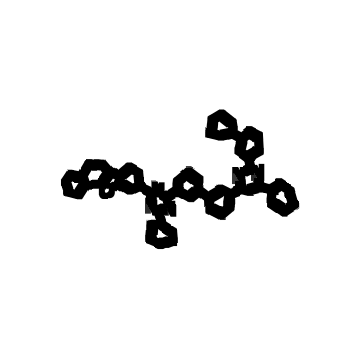 c1ccc(-c2cccc(-c3nc(-c4ccccc4)cc(-c4cccc(-c5cccc(-c6nc(-c7ccccc7)nc(-c7ccc8c(c7)oc7c9ccccc9ccc87)n6)c5)c4)n3)c2)cc1